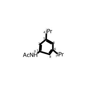 CC(=O)Nc1cc(C(C)C)cc(C(C)C)c1